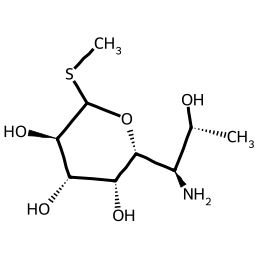 CSC1O[C@H]([C@H](N)[C@@H](C)O)[C@H](O)[C@H](O)[C@H]1O